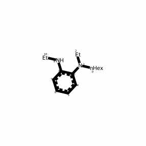 CCCCCCN(CC)c1ccccc1NCC